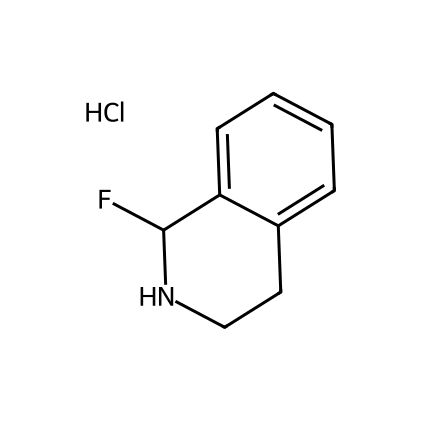 Cl.FC1NCCc2ccccc21